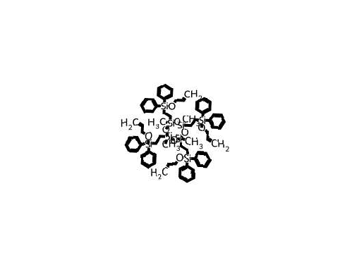 C=CCO[Si](CC[Si]1(C)O[Si](C)(CC[Si](OCC=C)(c2ccccc2)c2ccccc2)O[Si](C)(CC[Si](OCC=C)(c2ccccc2)c2ccccc2)O[Si](C)(CC[Si](OCC=C)(c2ccccc2)c2ccccc2)O1)(c1ccccc1)c1ccccc1